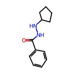 O=C(NNC1CCCC1)c1ccccc1